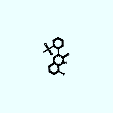 CS(=O)(=O)c1ccccc1-c1cc2cccc(F)c2[nH]c1=O